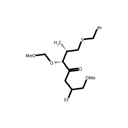 CCC(COC)CC(=O)[C@H](OCOC)[C@H](C)CSCC(C)C